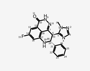 Cn1ncnc1[C@@H]1c2n[nH]c(=O)c3cc(F)cc(c23)N[C@H]1c1ccccc1